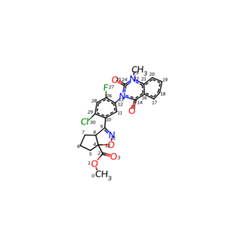 COC(=O)C12CCCC1C(c1cc(-n3c(=O)c4ccccc4n(C)c3=O)c(F)cc1Cl)=NO2